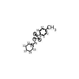 Cc1ccc(S(=O)(=O)OCN2CCCCC2)cc1